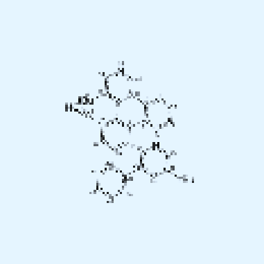 C#Cc1cc(-c2ccccc2-c2cncc(C(C)(C)C)c2)cc(-c2ccccc2-c2cncc(C(C)(C)C)c2)c1